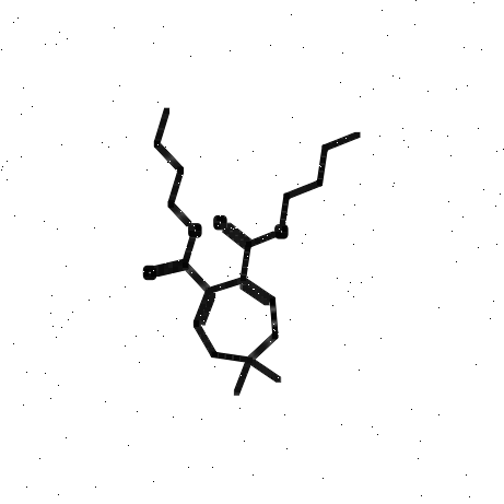 CCCCOC(=O)C1=CCC(C)(C)CC=C1C(=O)OCCCC